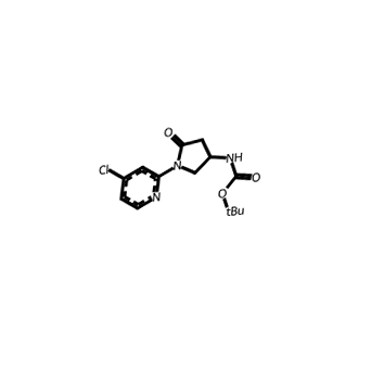 CC(C)(C)OC(=O)NC1CC(=O)N(c2cc(Cl)ccn2)C1